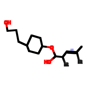 CC/C(C)=C\C(CC)C(O)OC1CCC(CCCO)CC1